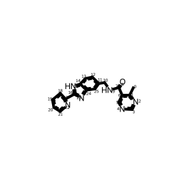 Cc1ncncc1C(=O)NCc1ccc2[nH]c(-c3ccccn3)nc2c1